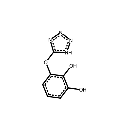 Oc1cccc(Oc2nnn[nH]2)c1O